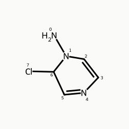 NN1C=CN=CC1Cl